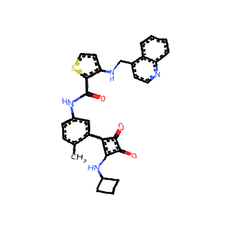 Cc1ccc(NC(=O)c2sccc2NCc2ccnc3ccccc23)cc1-c1c(NC2CCC2)c(=O)c1=O